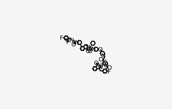 O=C(CN1CCC(OC2CCN(C(=O)[C@@H](C3CCCCC3)n3ccc4c(C5CCCN(C(=O)CNCc6ccc(F)cc6F)C5)cccc4c3=O)CC2)CC1)N1CCN(C(=O)c2cc(Cc3n[nH]c(=O)c4ccccc34)ccc2F)CC1